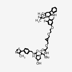 Cc1ncsc1-c1ccc(CNC(=O)[C@@H]2C[C@@H](O)CN2C(=O)C(NC(=O)COCC2CC2COCCOc2cc(F)c([C@@H]3c4[nH]c5ccccc5c4C[C@@H](C)N3CC(C)(C)F)c(F)c2)C(C)(C)C)cc1